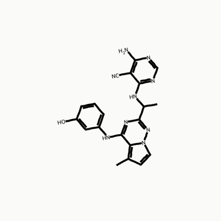 Cc1ccn2nc(C(C)Nc3ncnc(N)c3C#N)nc(Nc3cccc(O)c3)c12